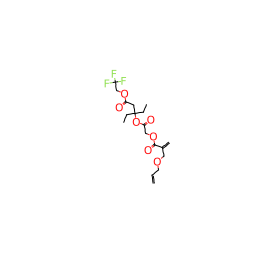 C=CCOCC(=C)C(=O)OCC(=O)OC(CC)(CC)CC(=O)OCC(F)(F)F